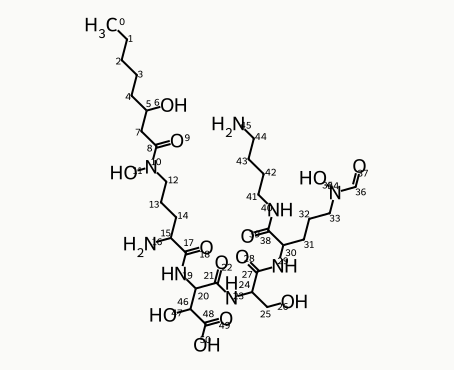 CCCCCC(O)CC(=O)N(O)CCCC(N)C(=O)NC(C(=O)NC(CO)C(=O)NC(CCCN(O)C=O)C(=O)NCCCCN)C(O)C(=O)O